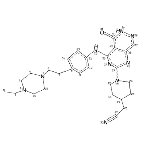 CCN1CCN(CCc2ccc(Nc3nc(N4CCC(CC#N)CC4)nc4cn[nH]c(=O)c34)cc2)CC1